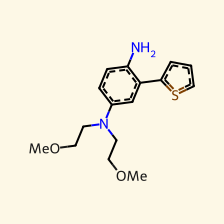 COCCN(CCOC)c1ccc(N)c(-c2cccs2)c1